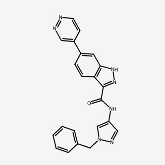 O=C(Nc1cnn(Cc2ccccc2)c1)c1n[nH]c2cc(-c3ccnnc3)ccc12